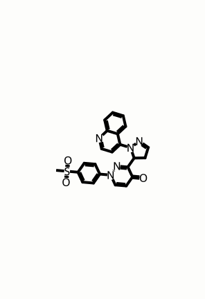 CS(=O)(=O)c1ccc(-n2ccc(=O)c(C3CC=NN3c3ccnc4ccccc34)n2)cc1